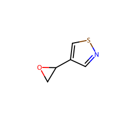 c1nscc1C1CO1